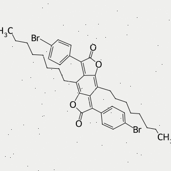 CCCCCCCCc1c2c(c(CCCCCCCC)c3c1=C(c1ccc(Br)cc1)C(=O)O3)=C(c1ccc(Br)cc1)C(=O)O2